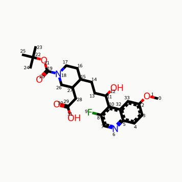 COc1ccc2ncc(F)c(C(O)CCC3CCN(C(=O)OC(C)(C)C)CC3CC(=O)O)c2c1